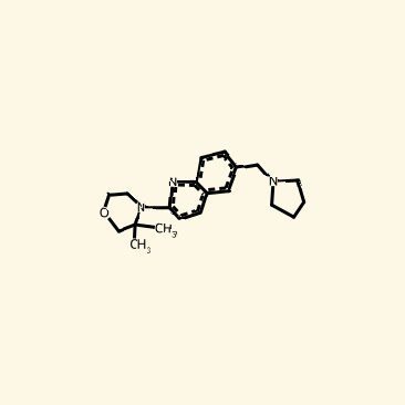 CC1(C)COCCN1c1ccc2cc(CN3CCCC3)ccc2n1